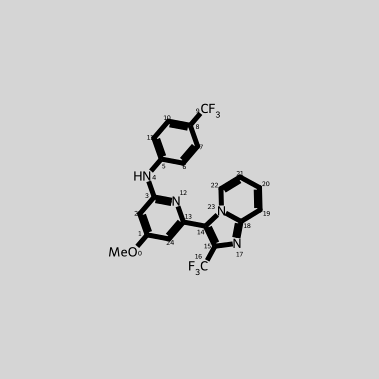 COc1cc(Nc2ccc(C(F)(F)F)cc2)nc(-c2c(C(F)(F)F)nc3ccccn23)c1